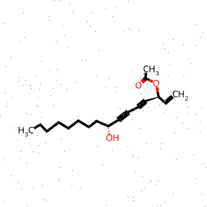 C=C[C@@H](C#CC#C[C@H](O)CCCCCCCC)OC(C)=O